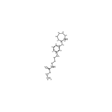 COCC(=O)NCCCOc1cccc(CC2CCCCCN2)c1